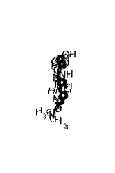 CN(C)CCOc1cnc2c(c1)CCC2Nc1nc2nc(O[C@@H]3CO[C@H]4[C@@H]3OC[C@H]4O)[nH]c2cc1Cl